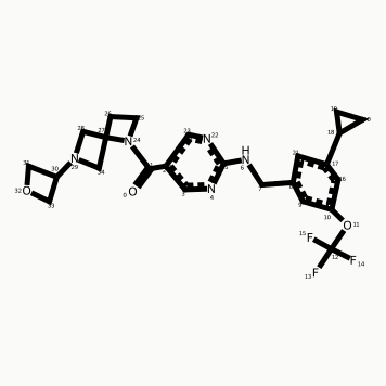 O=C(c1cnc(NCc2cc(OC(F)(F)F)cc(C3CC3)c2)nc1)N1CCC12CN(C1COC1)C2